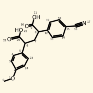 COc1ccc(C(CC(C(=O)O)c2ccc(C#N)cc2)C(=O)O)cc1